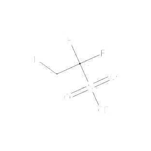 O=S(=O)(C(F)(F)F)C(F)(F)CF